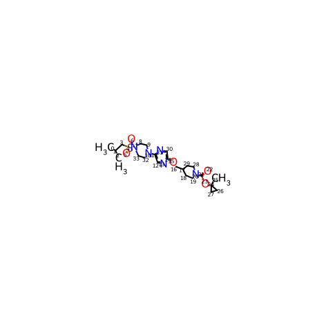 CC(C)CS(=O)(=O)N1CCN(c2cnc(OCC3CCN(C(=O)OC4(C)CC4)CC3)cn2)CC1